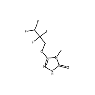 Cn1c(OCC(F)(F)C(F)F)n[nH]c1=O